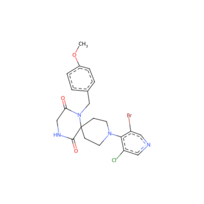 COc1ccc(CN2C(=O)CNC(=O)C23CCN(c2c(Cl)cncc2Br)CC3)cc1